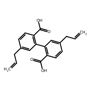 C=CCc1ccc(C(=O)O)c(-c2cc(CC=C)ccc2C(=O)O)c1